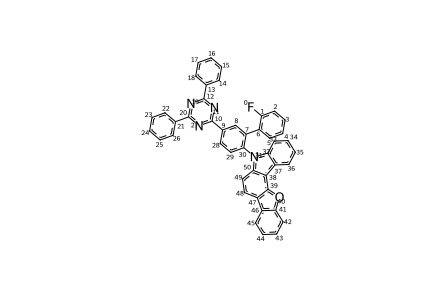 Fc1ccccc1-c1cc(-c2nc(-c3ccccc3)nc(-c3ccccc3)n2)ccc1-n1c2ccccc2c2c3oc4ccccc4c3ccc21